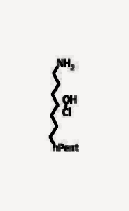 CCCCCCCCCCCCN.OCl